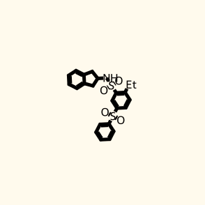 CCc1ccc(S(=O)(=O)c2ccccc2)cc1S(=O)(=O)NC1Cc2ccccc2C1